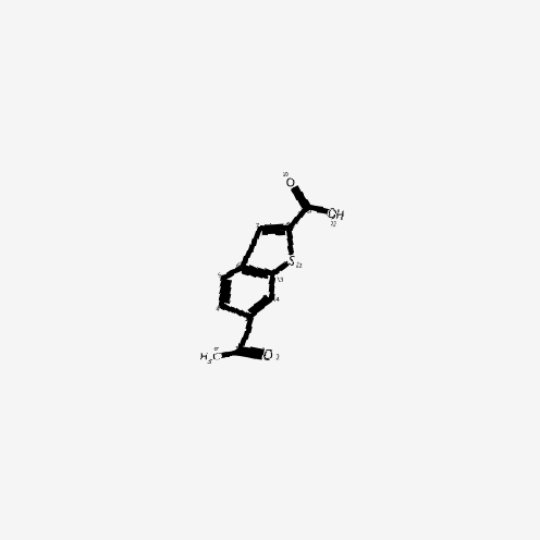 CC(=O)c1ccc2cc(C(=O)O)sc2c1